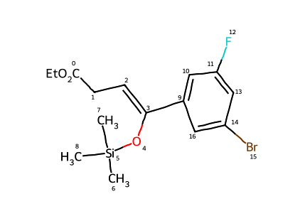 CCOC(=O)C/C=C(\O[Si](C)(C)C)c1cc(F)cc(Br)c1